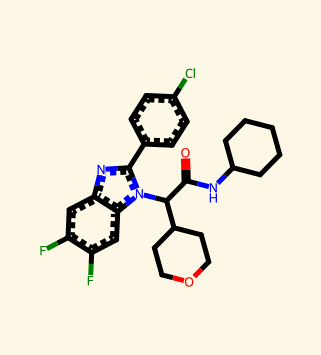 O=C(NC1CCCCC1)C(C1CCOCC1)n1c(-c2ccc(Cl)cc2)nc2cc(F)c(F)cc21